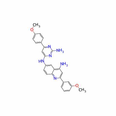 COc1ccc(-c2cc(Nc3ccc4nc(-c5cccc(OC)c5)cc(N)c4c3)nc(N)n2)cc1